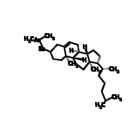 CC(C)CCC[C@@H](C)[C@H]1CC[C@H]2[C@@H]3CC=C4CC([Se][As](C)C)CC[C@]4(C)[C@H]3CC[C@]12C